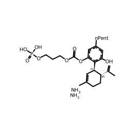 C=C(C)[C@@H]1CCC(C)=C[C@H]1c1c(O)cc(CCCCC)cc1OC(=O)OCCCOP(=O)(O)O.N.N